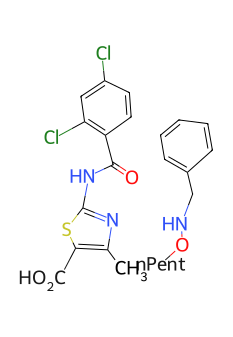 CCCCCONCc1ccccc1.Cc1nc(NC(=O)c2ccc(Cl)cc2Cl)sc1C(=O)O